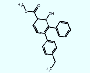 CCc1ccc(C2=C(c3ccccc3)N(O)C(C(=O)OC)C=C2)cc1